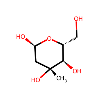 C[C@@]1(O)C[C@@H](O)O[C@H](CO)[C@H]1O